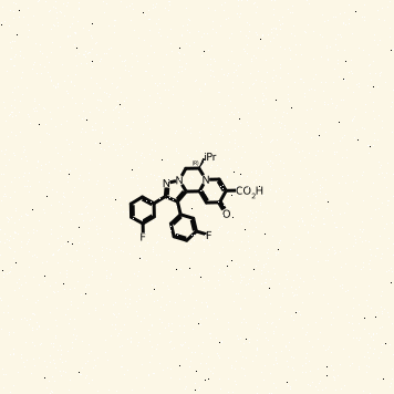 CC(C)[C@@H]1Cn2nc(-c3cccc(F)c3)c(-c3cccc(F)c3)c2-c2cc(=O)c(C(=O)O)cn21